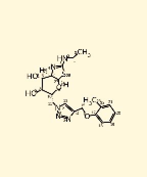 CCNC1=N[C@@H]2[C@@H](O)[C@H](O)[C@@H](Cn3cc(COc4ccccc4C)nn3)O[C@@H]2S1